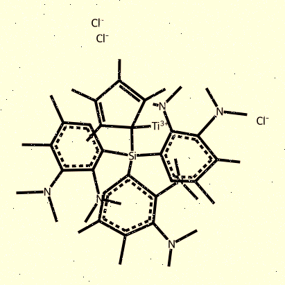 CC1=C(C)[C]([Ti+3])([Si](c2cc(C)c(C)c(N(C)C)c2N(C)C)(c2cc(C)c(C)c(N(C)C)c2N(C)C)c2cc(C)c(C)c(N(C)C)c2N(C)C)C(C)=C1C.[Cl-].[Cl-].[Cl-]